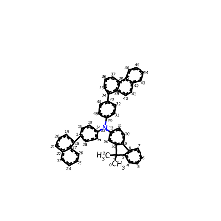 CC1(C)c2ccccc2-c2ccc(N(c3ccc(-c4cccc5ccccc45)cc3)c3ccc(-c4cccc5c4ccc4ccccc45)cc3)cc21